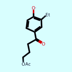 CCc1cc(C(=O)CCCOC(C)=O)ccc1[O]